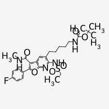 CCS(=O)(=O)Nc1nc2oc(-c3ccc(F)cc3)c(C(=O)NC)c2cc1CCCCCNC(=O)OC(C)(C)C